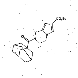 CCOC(=O)c1cc2n(c1)CCN(C(=O)C13CC4CC(CC(C4)C1)C3)C2